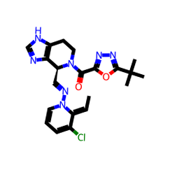 C/C=C1/C(Cl)=CC=CN1/N=C/[C@H]1c2nc[nH]c2CCN1C(=O)c1nnc(C(C)(C)C)o1